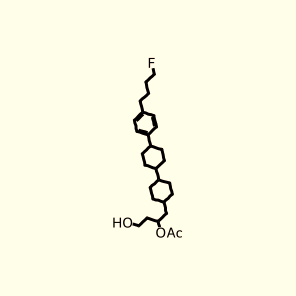 CC(=O)OC(CCO)CC1CCC(C2CCC(c3ccc(CCCCF)cc3)CC2)CC1